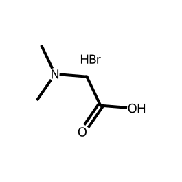 Br.CN(C)CC(=O)O